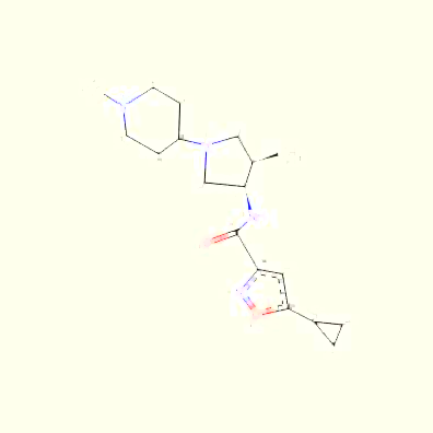 C[C@@H]1CN(C2CCN(C)CC2)C[C@@H]1NC(=O)c1cc(C2CC2)on1